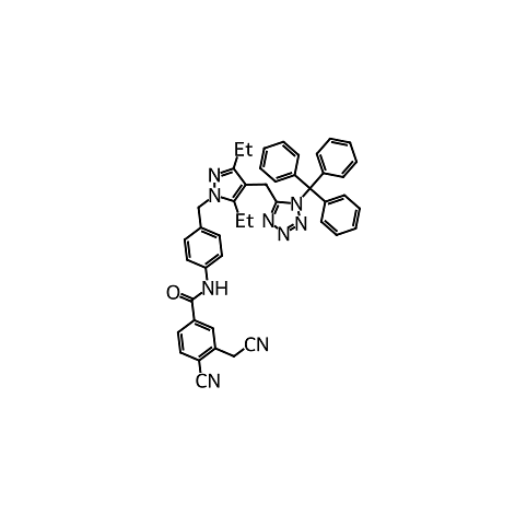 CCc1nn(Cc2ccc(NC(=O)c3ccc(C#N)c(CC#N)c3)cc2)c(CC)c1Cc1nnnn1C(c1ccccc1)(c1ccccc1)c1ccccc1